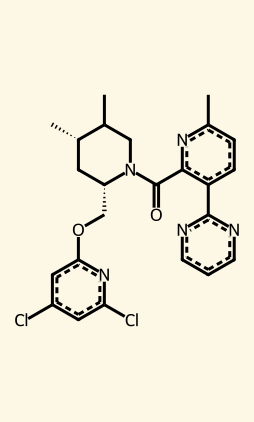 Cc1ccc(-c2ncccn2)c(C(=O)N2CC(C)[C@@H](C)C[C@H]2COc2cc(Cl)cc(Cl)n2)n1